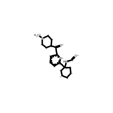 CN1CCC(C(=O)c2cccc(C3(NC=O)CCCCC3)n2)CC1